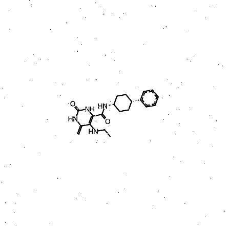 C=C1NC(=O)NC(C(=O)N[C@H]2CC[C@@H](c3ccccc3)CC2)=C1NCC